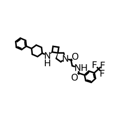 O=C(NCC(=O)N1CC[C@@]2(CC[C@@H]2NC2CCC(c3ccccc3)CC2)C1)c1cccc(C(F)(F)F)c1